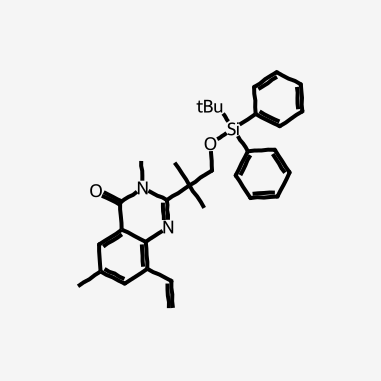 C=Cc1cc(C)cc2c(=O)n(C)c(C(C)(C)CO[Si](c3ccccc3)(c3ccccc3)C(C)(C)C)nc12